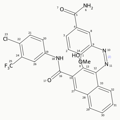 COc1ccc(C(N)=O)cc1/N=N\c1c(O)c(C(=O)Nc2ccc(Cl)c(C(F)(F)F)c2)cc2ccccc12